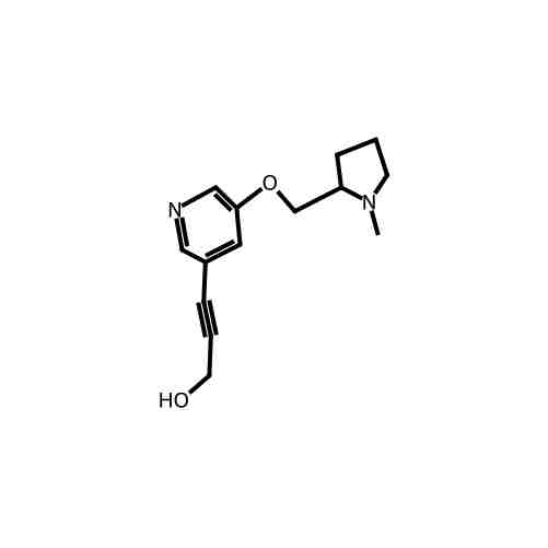 CN1CCCC1COc1cncc(C#CCO)c1